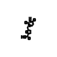 O=C(O)c1ccc(Cn2ccc(=O)[nH]c2=O)o1